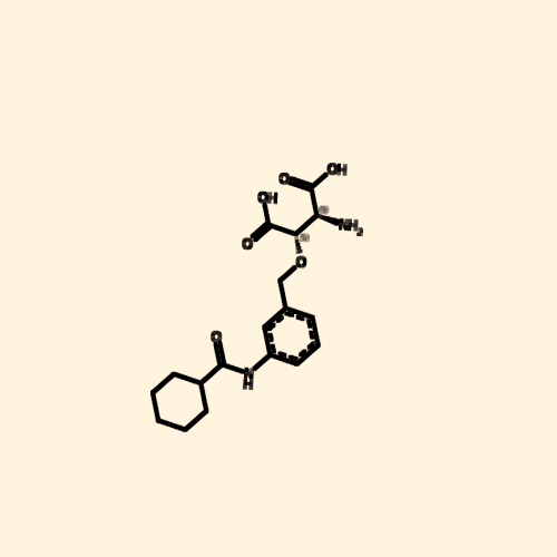 N[C@H](C(=O)O)[C@H](OCc1cccc(NC(=O)C2CCCCC2)c1)C(=O)O